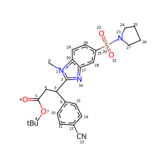 Cn1c(C(CC(=O)OC(C)(C)C)c2ccc(C#N)cc2)nc2cc(S(=O)(=O)N3CCCC3)ccc21